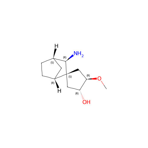 CO[C@@H]1C[C@@]2(C[C@H]1O)[C@@H]1CC[C@@H](C1)[C@H]2N